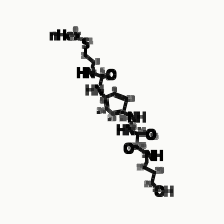 CCCCCCSCCNC(=O)Nc1ccc(NNC(=O)C(=O)NCCCO)cc1